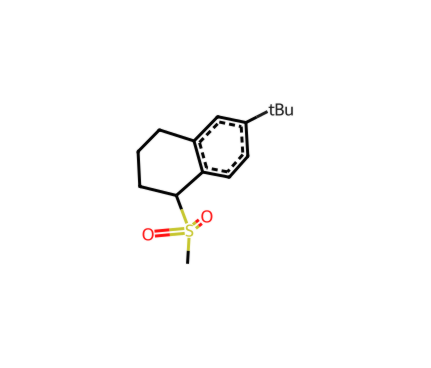 CC(C)(C)c1ccc2c(c1)CCCC2S(C)(=O)=O